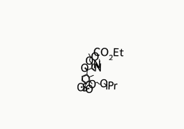 CCOC(=O)OC(C)Oc1c(C(=O)c2ccc(S(C)(=O)=O)c(OCCOC(C)C)c2C)cnn1C